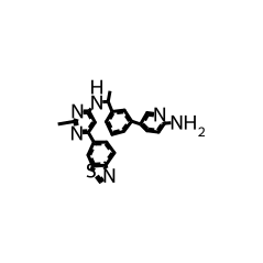 Cc1nc(NC(C)c2cccc(-c3ccc(N)nc3)c2)cc(-c2ccc3ncsc3c2)n1